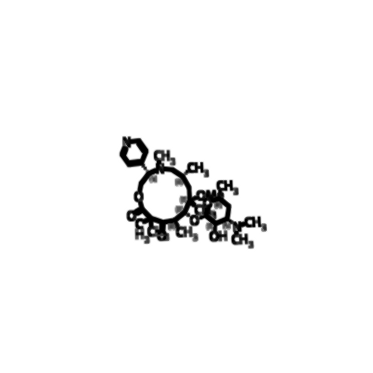 CO[C@]1(C)C[C@@H](C)CN(C)[C@@H](c2ccncc2)COC(=O)C(C)(C)C(=O)[C@H](C)[C@H]1O[C@@H]1O[C@H](C)C[C@H](N(C)C)[C@H]1O